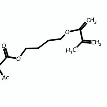 C=C(C)C(=C)OCCCCOC(=O)CC(C)=O